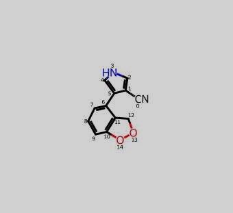 N#Cc1c[nH]cc1-c1cccc2c1COO2